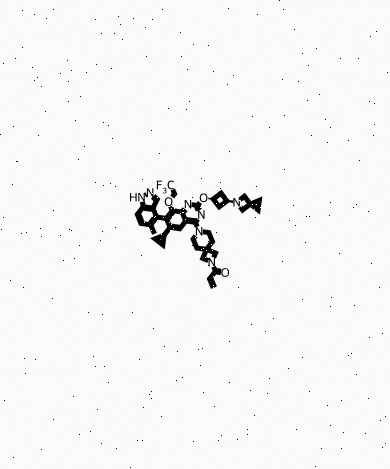 C=CC(=O)N1CC2(CCN(c3nc(O[C@H]4C[C@H](N5CC6(CC6)C5)C4)nc4c(OCC(F)(F)F)c(-c5c(C)ccc6[nH]ncc56)c(C5CC5)cc34)CC2)C1